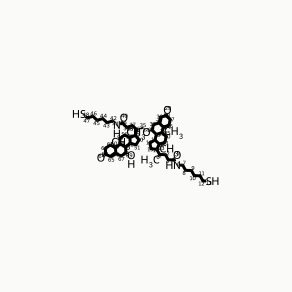 C[C@H](CCC(=O)NCCCCCCS)C1CCC2C3C(CC[C@@]21C)[C@@]1(C)CCC(=O)C=C1C[C@H]3OC[C@H](CCC(=O)NCCCCCCS)C1CCC2C3C(CC[C@@]21C)[C@@]1(C)CCC(=O)C=C1C[C@H]3O